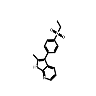 CCS(=O)(=O)c1ccc(-c2c(C)[nH]c3ncccc23)cc1